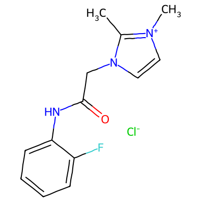 Cc1n(CC(=O)Nc2ccccc2F)cc[n+]1C.[Cl-]